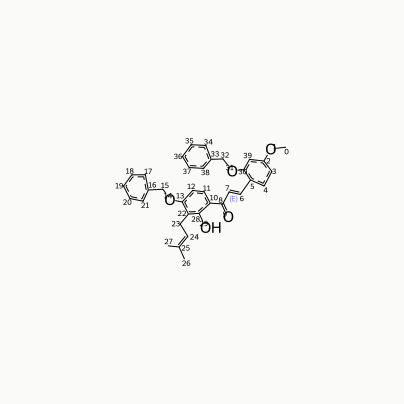 COc1ccc(/C=C/C(=O)c2ccc(OCc3ccccc3)c(CC=C(C)C)c2O)c(OCc2ccccc2)c1